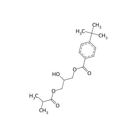 CC(C)C(=O)OCC(O)COC(=O)c1ccc(C(C)(C)C)cc1